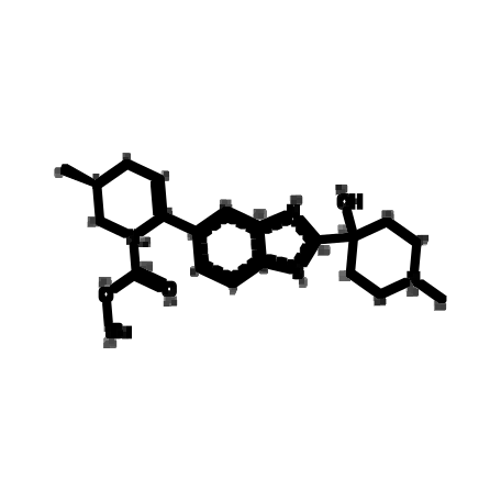 C[C@H]1CC=C(c2ccc3sc(C4(O)CCN(C)CC4)nc3c2)N(C(=O)OC(C)(C)C)C1